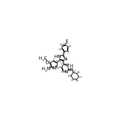 COc1cc(-c2[nH]c(-c3ccc(F)cc3)nc2-c2ccnc(NC3CCCCC3)n2)cnc1N